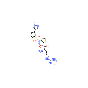 Cn1cc(-c2cccc(S(=O)(=O)Nc3ccsc3C(=O)C(=O)[C@@H](N)CCCNC(N)N)c2)cn1